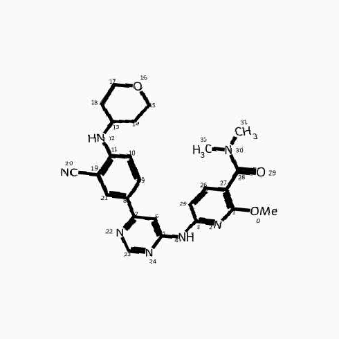 COc1nc(Nc2cc(-c3ccc(NC4CCOCC4)c(C#N)c3)ncn2)ccc1C(=O)N(C)C